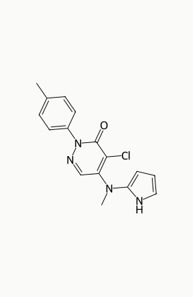 Cc1ccc(-n2ncc(N(C)c3ccc[nH]3)c(Cl)c2=O)cc1